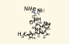 CN/C=C(\C=N)CNC(=O)c1cc(-n2nncc2C2CCC2)c2ncc(-c3ccc(C)s3)n2c1